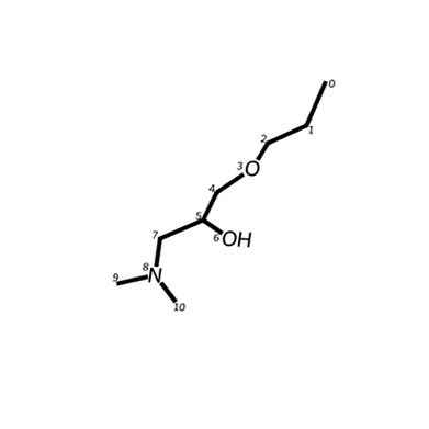 CCCOCC(O)CN(C)C